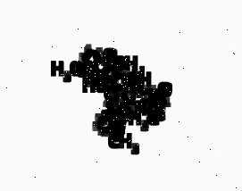 COc1cccc2c1C(=O)c1c(O)c3c(c(O)c1C2=O)C[C@@](O)(C(=O)NCCN1C(=O)CC(SC)C1=O)C[C@@H]3O[C@H]1CC2[C@H](O[C@@H]3[C@@H](OC)CCCN23)[C@H](C)O1